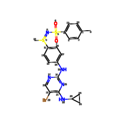 Cc1ccc(S(=O)(=O)N=S(C)c2ccc(Nc3ncc(Br)c(NC4CC4)n3)cc2)cc1